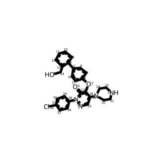 O=c1c(Oc2ccc(-c3ccccc3CO)cc2)c(N2CCNCC2)cnn1-c1ccc(Cl)cc1